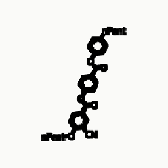 CCCCCOc1ccc(C(=O)Oc2ccc(C(=O)Oc3ccc(CCCCC)cc3)cc2)cc1C#N